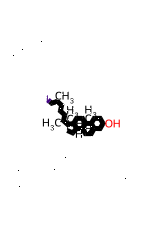 CC(CI)CCC[C@@H](C)[C@H]1CC[C@H]2[C@@H]3CC=C4C[C@@H](O)CC[C@]4(C)[C@H]3CC[C@]12C